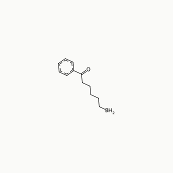 BCCCCCC(=O)c1ccccc1